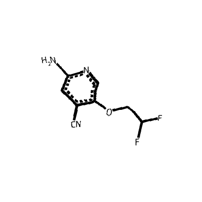 N#Cc1cc(N)ncc1OCC(F)F